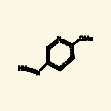 COc1ccc(N=N)cn1